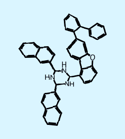 c1ccc(-c2ccccc2-c2ccc3c(c2)oc2cccc(C4NC(c5ccc6ccccc6c5)NC(c5ccc6ccccc6c5)N4)c23)cc1